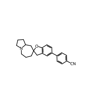 N#Cc1ccc(-c2ccc3c(c2)CC2(CCCN4CCCC4C2)O3)cc1